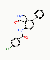 O=C(Nc1ccc(-c2ccccc2)c2c1C(=O)NC2)c1ccc(Cl)cc1